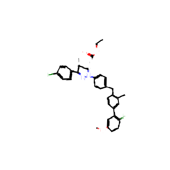 CCOC(=O)C[C@H]1[C@H](C)C(c2ccc(Cl)cc2)=NN1c1ccc(Cc2ccc(-c3cc(OC)ccc3F)cc2C)cc1